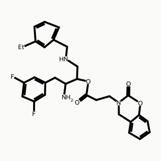 CCc1cccc(CNCC(OC(=O)CCN2Cc3ccccc3OC2=O)C(N)Cc2cc(F)cc(F)c2)c1